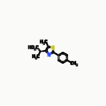 Cc1ccc(-c2nc(C(C)C(=O)O)c(C)s2)cc1